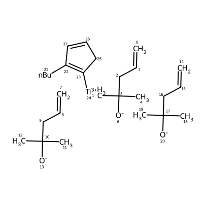 C=CCC(C)(C)[O-].C=CCC(C)(C)[O-].C=CCC(C)(C)[O-].CCCCC1=[C]([Ti+3])CC=C1